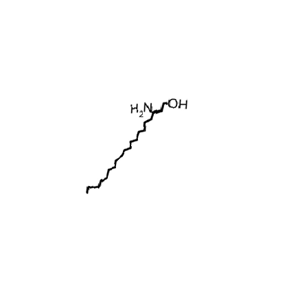 CCCCCCCCCCCCCCCCCC(N)=CCO